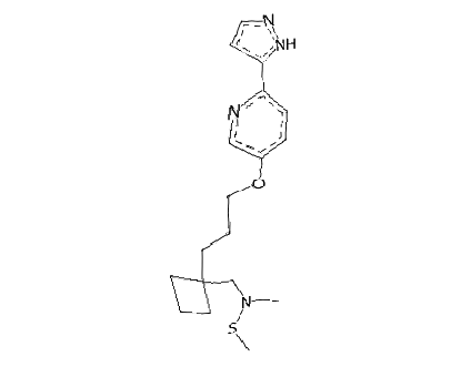 CSN(C)CC1(CCCOc2ccc(-c3ccn[nH]3)nc2)CCC1